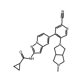 CN1CC2CN(c3cnc(C#N)cc3-c3ccn4nc(NC(=O)C5CC5)cc4c3)CC2C1